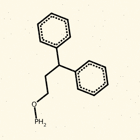 POCCC(c1ccccc1)c1ccccc1